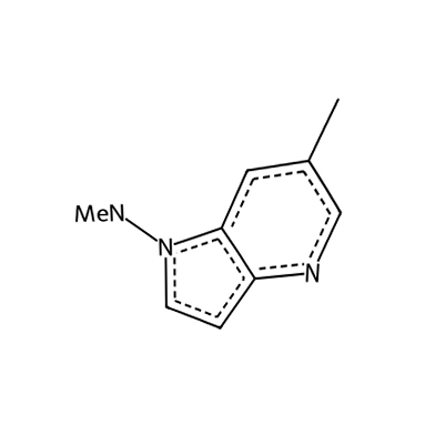 CNn1ccc2ncc(C)cc21